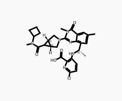 Cc1cc([C@H](C)Nc2ccc(Cl)nc2C(=O)O)c2nc(N3C[C@@H]4C(C(=O)N(C)C5CCC5)[C@@H]4C3)n(C)c(=O)c2c1